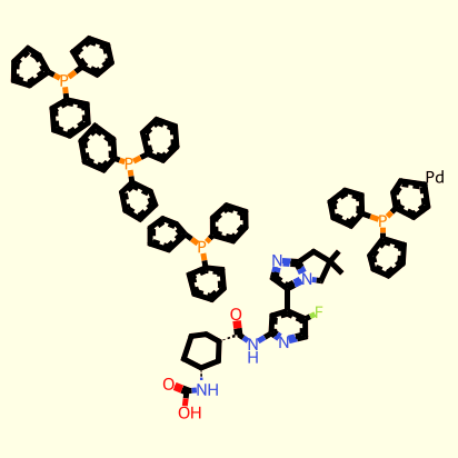 CC1(C)Cc2ncc(-c3cc(NC(=O)[C@H]4CCC[C@@H](NC(=O)O)C4)ncc3F)n2C1.[Pd].c1ccc(P(c2ccccc2)c2ccccc2)cc1.c1ccc(P(c2ccccc2)c2ccccc2)cc1.c1ccc(P(c2ccccc2)c2ccccc2)cc1.c1ccc(P(c2ccccc2)c2ccccc2)cc1